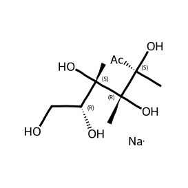 CC(=O)[C@@](C)(O)[C@](C)(O)[C@@](C)(O)[C@H](O)CO.[Na]